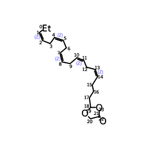 CC/C=C\C/C=C\C/C=C\C/C=C\C/C=C\CCCC1OCC(=O)O1